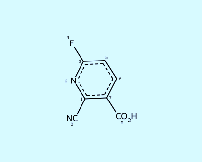 N#Cc1nc(F)ccc1C(=O)O